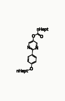 CCCCCCCOc1ccc(-c2ncc(OC(=O)CCCCCCC)cn2)cc1